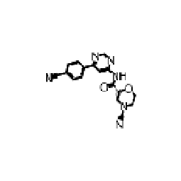 N#Cc1ccc(-c2cc(NC(=O)[C@H]3CN(C#N)CCO3)ncn2)cc1